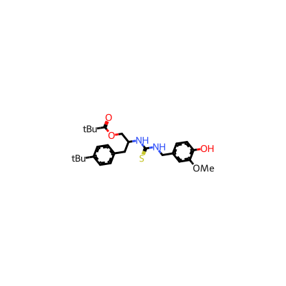 COc1cc(CNC(=S)NC(COC(=O)C(C)(C)C)Cc2ccc(C(C)(C)C)cc2)ccc1O